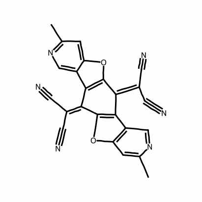 Cc1cc2oc3c(=C(C#N)C#N)c4c(oc5cc(C)ncc54)c(=C(C#N)C#N)c3c2cn1